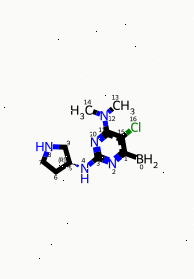 Bc1nc(N[C@@H]2CCNC2)nc(N(C)C)c1Cl